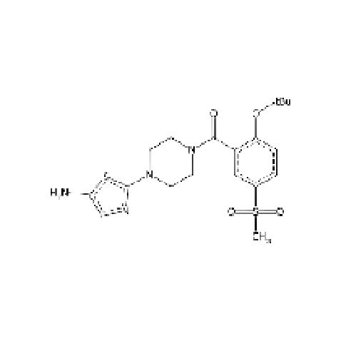 CC(C)(C)Oc1ccc(S(C)(=O)=O)cc1C(=O)N1CCN(c2ncc(N)s2)CC1